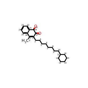 CC1=C(CCCCCCCCC2CCCCC2)C(=O)C(=O)c2ccccc21